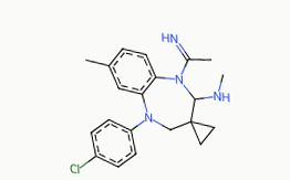 CNC1N(C(C)=N)c2ccc(C)cc2N(c2ccc(Cl)cc2)CC12CC2